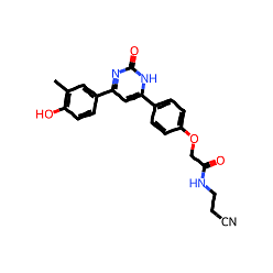 Cc1cc(-c2cc(-c3ccc(OCC(=O)NCCC#N)cc3)[nH]c(=O)n2)ccc1O